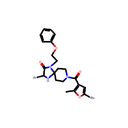 Cc1oc(C(C)(C)C)cc1C(=O)N1CCC2(CC1)NC(C(C)C)C(=O)N2CCOc1ccccc1